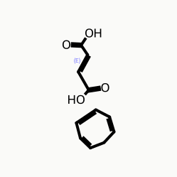 C1=CC=CCC=C1.O=C(O)/C=C/C(=O)O